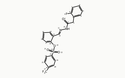 O=C(Cc1ccccc1F)N/N=C/c1ccccc1OS(=O)(=O)c1ccc(C(F)(F)F)cc1